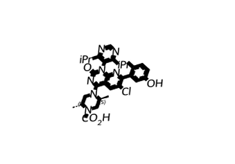 Cc1ccc(O)cc1-c1nc2c(cc1Cl)c(N1C[C@@H](C)N(C(=O)O)C[C@@H]1C)nc(=O)n2-c1c(C(C)C)ncnc1C(C)C